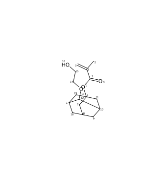 C=C(C)C(=O)OC12CC3CC(C1)C(OCCO)C(C3)C2